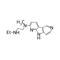 CCNCCN(C)c1ccc2c(n1)[nH]c1ccncc12